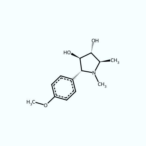 COc1ccc([C@@H]2[C@@H](O)[C@H](O)[C@@H](C)N2C)cc1